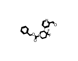 O=Cc1cc([C@H]2CN(C(=O)OCc3ccccc3)CCC2(F)F)ccn1